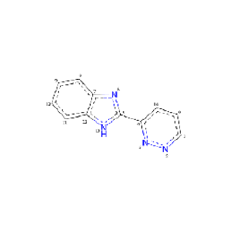 c1cnnc(-c2nc3ccccc3[nH]2)c1